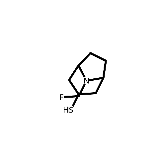 FCN1C2CCC1CC(S)C2